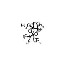 CC1(F)OC(C(F)F)(C(F)(F)F)OC1(C)F